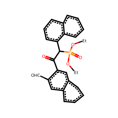 CCOP(=O)(OCC)C(C(=O)c1cc2ccccc2cc1C=O)c1cccc2ccccc12